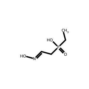 CCP(=O)(O)CC=NO